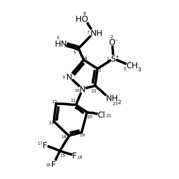 C[S+]([O-])c1c(C(=N)NO)nn(-c2ccc(C(F)(F)F)cc2Cl)c1N